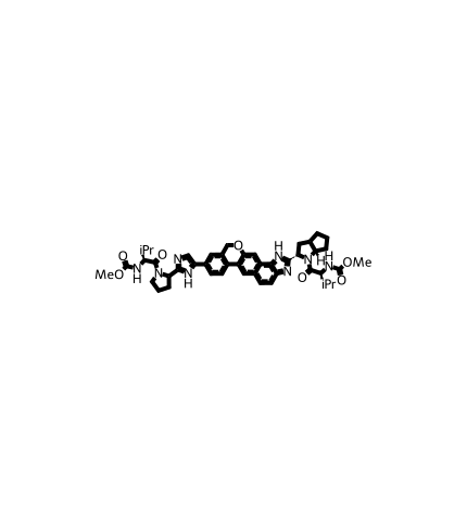 COC(=O)N[C@H](C(=O)N1CCCC1c1ncc(-c2ccc3c(c2)COc2cc4c(ccc5nc([C@@H]6CC7CCC[C@@H]7N6C(=O)[C@@H](NC(=O)OC)C(C)C)[nH]c54)cc2-3)[nH]1)C(C)C